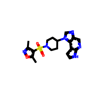 Cc1noc(C)c1S(=O)(=O)N1CCC(n2cnc3cnc4[nH]ccc4c32)CC1